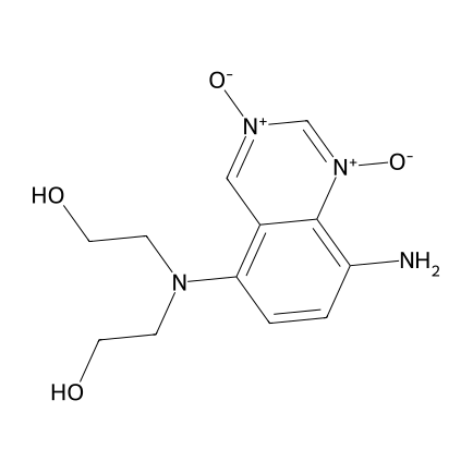 Nc1ccc(N(CCO)CCO)c2c[n+]([O-])c[n+]([O-])c12